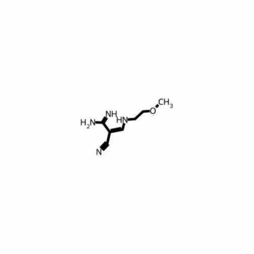 COCCN/C=C(/C#N)C(=N)N